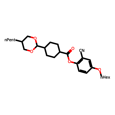 CCCCCCOc1ccc(OC(=O)C2CCC(C3OCC(CCCCC)CO3)CC2)c(C#N)c1